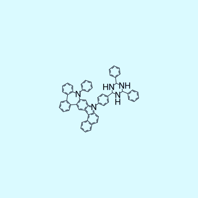 c1ccc(C2NC(c3ccccc3)NC(c3ccc(-n4c5cc6c(cc5c5c7ccccc7ccc54)-c4ccccc4-c4ccccc4N6c4ccccc4)cc3)N2)cc1